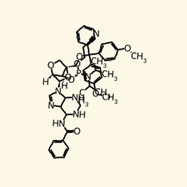 COc1ccc(C(OC[C@@]23CO[C@@H]([C@H](N4C=NC5C(NC(=O)c6ccccc6)NCNC54)O2)[C@@H]3OP(OCCC#N)N(C(C)C)C(C)C)(c2ccccc2)c2ccc(OC)cc2)cc1